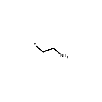 NC[CH]F